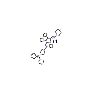 Cc1ccc(/C=C/c2c(Cl)c(Cl)c(/C=C/c3ccc(N(c4ccccc4)c4ccccc4)cc3)c(Cl)c2Cl)cc1